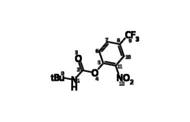 CC(C)(C)NC(=O)Oc1ccc(C(F)(F)F)cc1[N+](=O)[O-]